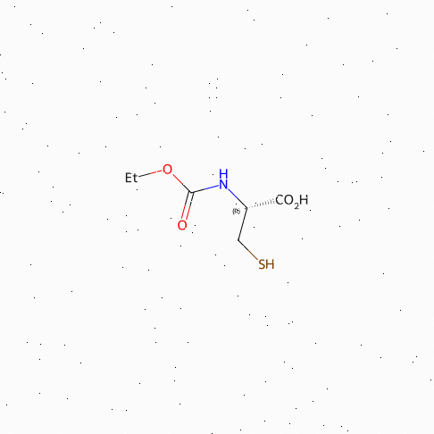 CCOC(=O)N[C@@H](CS)C(=O)O